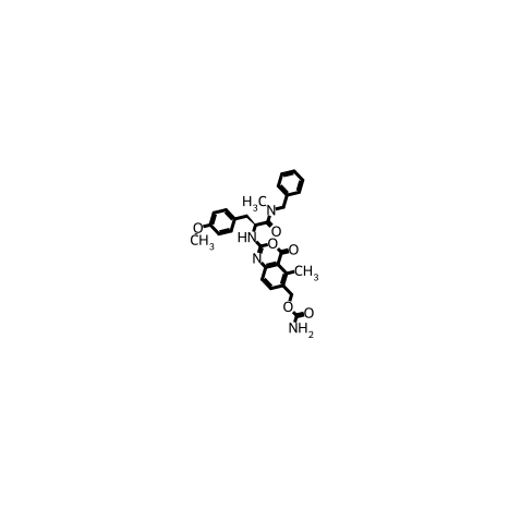 COc1ccc(C[C@H](Nc2nc3ccc(COC(N)=O)c(C)c3c(=O)o2)C(=O)N(C)Cc2ccccc2)cc1